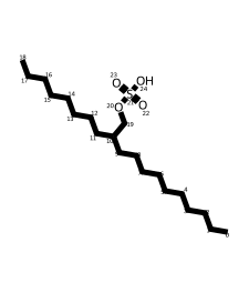 CCCCCCCCCCC(CCCCCCCC)COS(=O)(=O)O